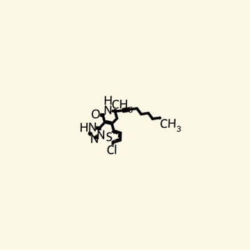 CCCCCCC#CC1(C)CC(c2ccc(Cl)s2)=C(c2nnc[nH]2)C(=O)N1